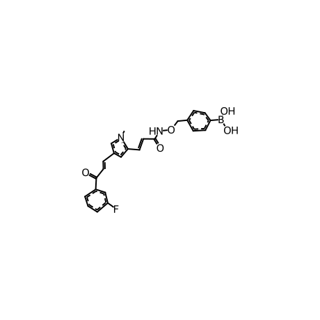 Cn1cc(/C=C/C(=O)c2cccc(F)c2)cc1/C=C/C(=O)NOCc1ccc(B(O)O)cc1